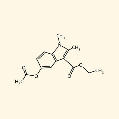 CCOC(=O)c1c(C)n(C)c2ccc(OC(C)=O)cc12